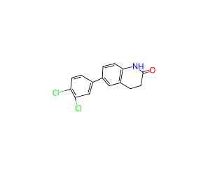 O=C1CCc2cc(-c3ccc(Cl)c(Cl)c3)ccc2N1